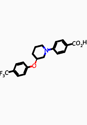 O=C(O)c1ccc(N2CCC[C@H](Oc3ccc(C(F)(F)F)cc3)C2)cc1